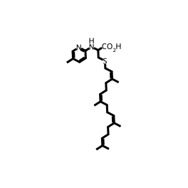 CC(C)=CCCC(C)=CCCC(C)=CCCC(C)=CCSCC(Nc1ccc(C)cn1)C(=O)O